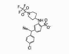 N#CC(c1ccc(Cl)cc1)c1ccc([N+](=O)[O-])c(NC2CCN(S(=O)(=O)C(F)(F)F)CC2)c1